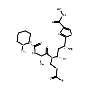 CCCC(=O)OCN(C(=O)[C@@H](NC(=O)[C@H]1CCCCN1C)C(C)CC)[C@H](C[C@@H](O)c1nc(C(=O)NO)cs1)C(C)C